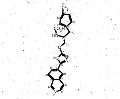 O=C(O)N[C@H](COc1nnc(-c2ccc3cnccc3c2)s1)Cc1ccc(C(F)(F)F)cc1